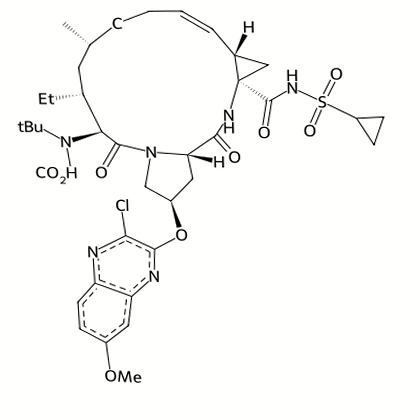 CC[C@@H]1C[C@H](C)CC/C=C\[C@@H]2C[C@@]2(C(=O)NS(=O)(=O)C2CC2)NC(=O)[C@@H]2C[C@@H](Oc3nc4cc(OC)ccc4nc3Cl)CN2C(=O)[C@H]1N(C(=O)O)C(C)(C)C